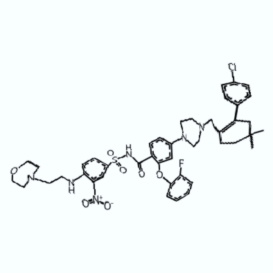 CC1(C)CCC(CN2CCN(c3ccc(C(=O)NS(=O)(=O)c4ccc(NCCN5CCOCC5)c([N+](=O)[O-])c4)c(Oc4ccccc4F)c3)CC2)=C(c2ccc(Cl)cc2)C1